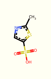 Cc1ncc(S(=O)(=O)O)s1